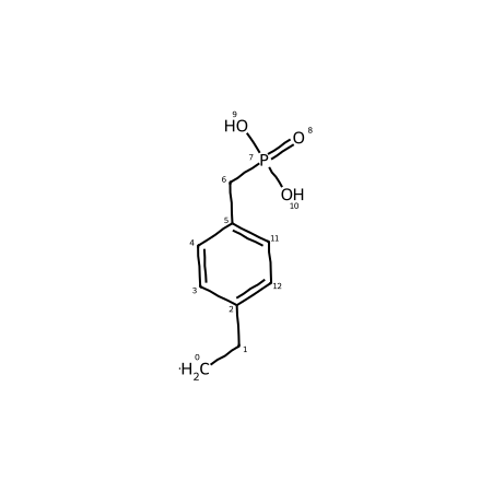 [CH2]Cc1ccc(CP(=O)(O)O)cc1